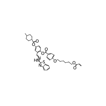 C=CC(=O)OCCCCCCOc1ccc(C(=O)Oc2ccc(OC(=O)C3CCC(C)CC3)cc2C=NNc2nc3ccccc3s2)cc1